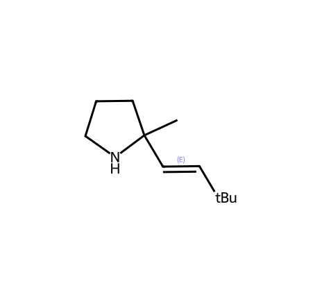 CC(C)(C)/C=C/C1(C)CCCN1